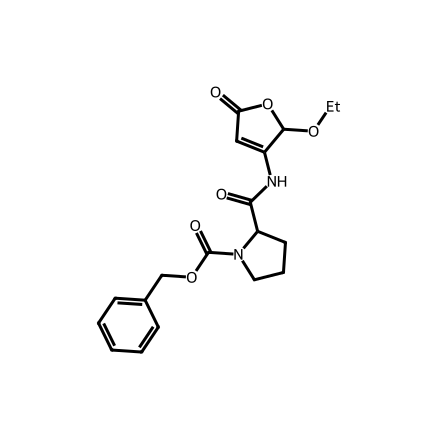 CCOC1OC(=O)C=C1NC(=O)C1CCCN1C(=O)OCc1ccccc1